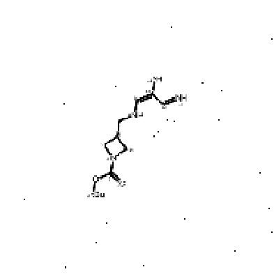 CC(C)(C)OC(=O)N1CC(CN/C=C(/S)C=N)C1